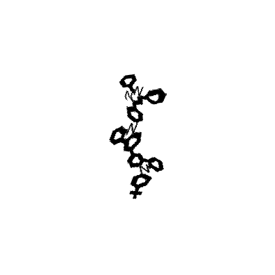 CC(C)(C)c1ccc(-n2c3ccccc3c3cc(-c4ccc5c(c4)c4ccccc4n5-c4ccc(-c5cc(-c6ccccc6)nc(-c6ccccc6)n5)cc4)ccc32)cc1